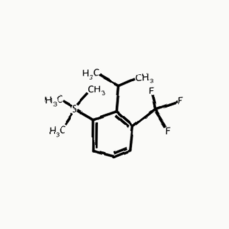 CC(C)c1c(C(F)(F)F)cccc1S(C)(C)C